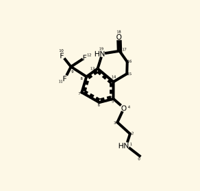 CNCCOc1ccc(C(F)(F)F)c2c1CCC(=O)N2